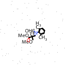 CCC(COC)(CN(C=O)c1c(C)cccc1C)C(=O)OC